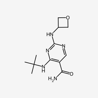 CC(C)(C)Nc1nc(NC2COC2)ncc1C(N)=O